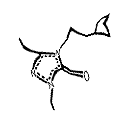 Cc1nn(C)c(=O)n1CC1CC1